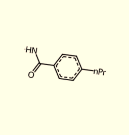 CCCc1ccc(C([NH])=O)cc1